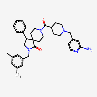 Cc1cc(CN2CC(c3ccccc3)C3(CCN(C(=O)C4CCN(Cc5ccnc(N)c5)CC4)CC3)C2=O)cc(C(F)(F)F)c1